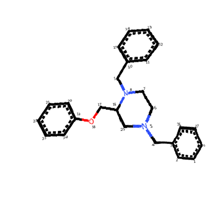 c1ccc(CN2CCN(Cc3ccccc3)C(COc3ccccc3)C2)cc1